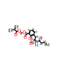 CCC(CC)C(=O)OCOC(=O)c1cccc2c1OB(O)[C@@H](NC(=O)CCC(C)=O)C2